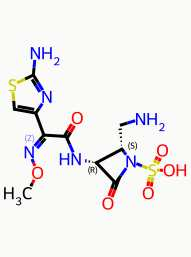 CO/N=C(\C(=O)N[C@H]1C(=O)N(S(=O)(=O)O)[C@H]1CN)c1csc(N)n1